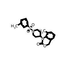 Cc1cccc(S(=O)(=O)N2CCC(N3C(=O)OCc4cccc(C)c43)CC2)c1